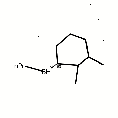 CCCB[C@@H]1CCCC(C)C1C